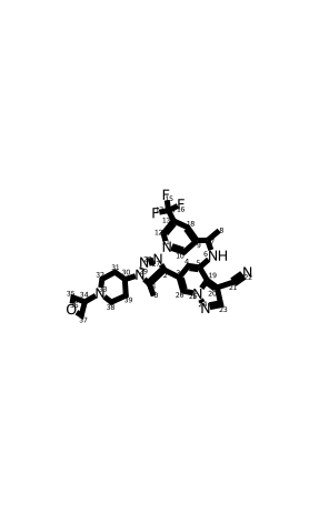 Cc1c(-c2cc(NC(C)c3cncc(C(F)(F)F)c3)c3c(C#N)cnn3c2)nnn1C1CCN(C2COC2)CC1